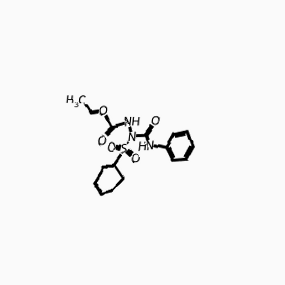 CCOC(=O)NN(C(=O)Nc1ccccc1)S(=O)(=O)C1CCCCC1